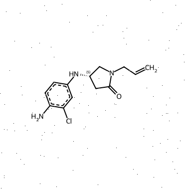 C=CCN1C[C@@H](Nc2ccc(N)c(Cl)c2)CC1=O